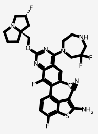 N#Cc1c(N)sc2c(F)ccc(-c3c(Cl)cc4c(N5CCNCC(F)(F)C5)nc(OC[C@@]56CCCN5C[C@H](F)C6)nc4c3F)c12